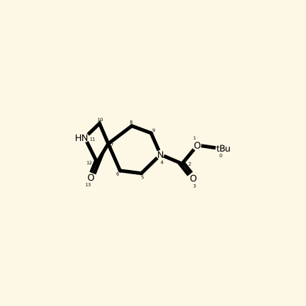 CC(C)(C)OC(=O)N1CCC2(CC1)CNC2=O